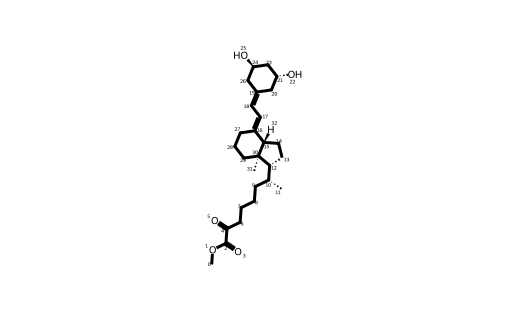 COC(=O)C(=O)CCCC[C@@H](C)[C@H]1CC[C@H]2/C(=C/C=C3C[C@@H](O)C[C@H](O)C3)CCC[C@]12C